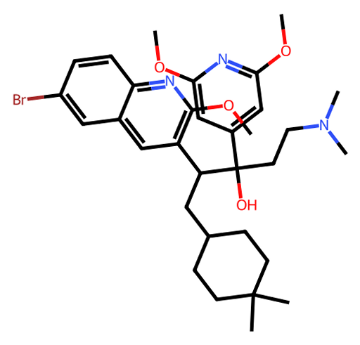 COc1cc(C(O)(CCN(C)C)C(CC2CCC(C)(C)CC2)c2cc3cc(Br)ccc3nc2OC)cc(OC)n1